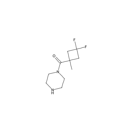 CC1(C(=O)N2CCNCC2)CC(F)(F)C1